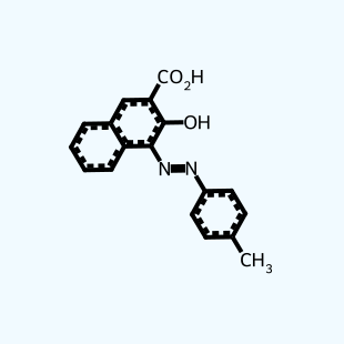 Cc1ccc(N=Nc2c(O)c(C(=O)O)cc3ccccc23)cc1